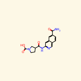 NC(=O)c1ccc2cnc(NC(=O)C3CCN(C(=O)O)C3)cc2c1